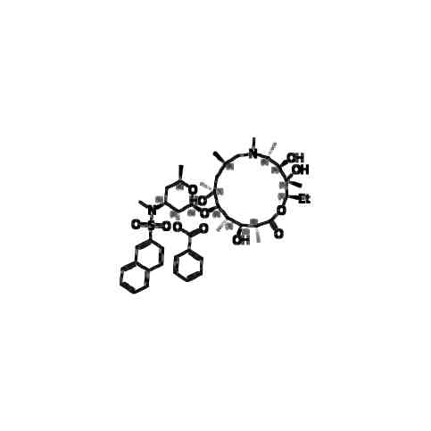 CC[C@H]1OC(=O)[C@H](C)[C@@H](O)[C@H](C)[C@@H](O[C@@H]2O[C@H](C)C[C@H](N(C)S(=O)(=O)c3ccc4ccccc4c3)[C@H]2OC(=O)c2ccccc2)[C@@](C)(O)C[C@@H](C)CN(C)[C@H](C)[C@@H](O)[C@]1(C)O